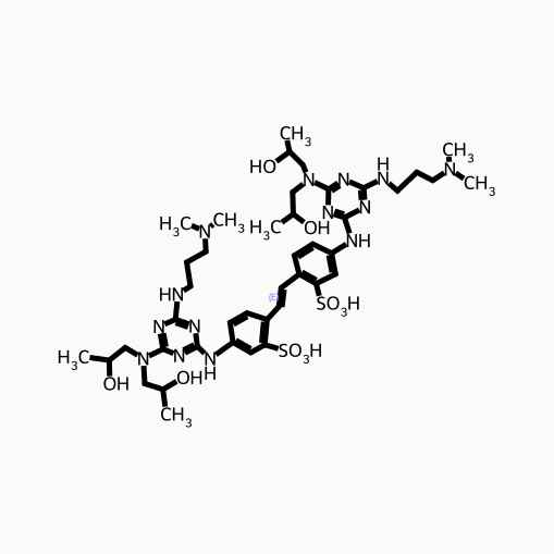 CC(O)CN(CC(C)O)c1nc(NCCCN(C)C)nc(Nc2ccc(/C=C/c3ccc(Nc4nc(NCCCN(C)C)nc(N(CC(C)O)CC(C)O)n4)cc3S(=O)(=O)O)c(S(=O)(=O)O)c2)n1